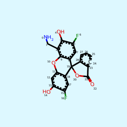 NCc1c(O)c(F)cc2c1Oc1cc(O)c(F)cc1C21OC(=O)c2ccccc21